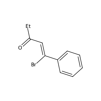 CCC(=O)C=C(Br)c1ccccc1